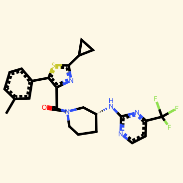 Cc1cccc(-c2sc(C3CC3)nc2C(=O)N2CCC[C@@H](Nc3nccc(C(F)(F)F)n3)C2)c1